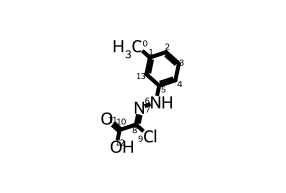 Cc1cccc(NN=C(Cl)C(=O)O)c1